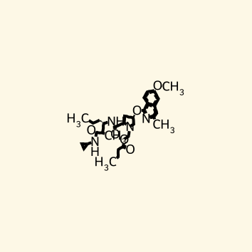 CCCC(=O)OCN1C[C@H](Oc2nc(C)cc3cc(OC)ccc23)CC1C(=O)N[C@@H](CCC)C(C)C(=O)NC1CC1